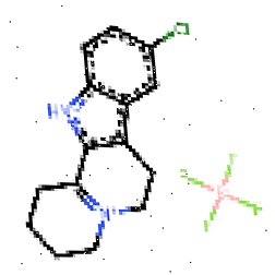 Clc1ccc2[nH]c3c(c2c1)CC[N+]1=C3CCCC1.F[B-](F)(F)F